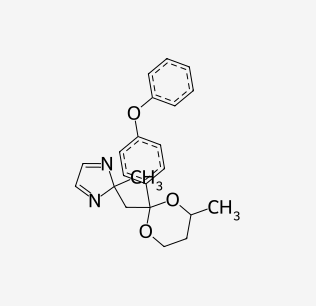 CC1CCOC(CC2(C)N=CC=N2)(c2ccc(Oc3ccccc3)cc2)O1